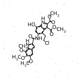 COC(=O)c1[nH]c2c(O)cc(NC(=O)c3cc4cc(OC)c(OC)c(OC)c4[nH]3)c(CCCl)c2c1C(=O)OC